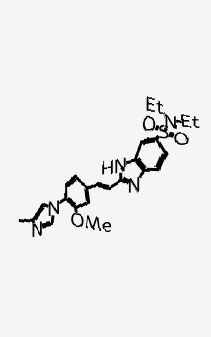 CCN(CC)S(=O)(=O)c1ccc2nc(/C=C/c3ccc(-n4cnc(C)c4)c(OC)c3)[nH]c2c1